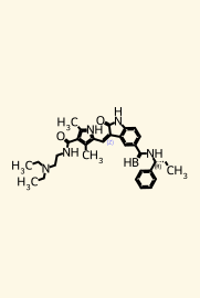 B=C(N[C@H](CC)c1ccccc1)c1ccc2c(c1)/C(=C/c1[nH]c(C)c(C(=O)NCCN(CC)CC)c1C)C(=O)N2